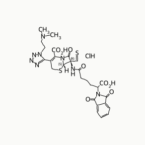 CN(C)CCn1nnnc1C1=C(C(=O)O)N2C(=O)[C@@](C=S)(NC(=O)CCCC(C(=O)O)N3C(=O)c4ccccc4C3=O)[C@@H]2SC1.Cl